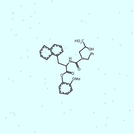 COc1ccccc1OC(=O)C(Cc1cccc2ccccc12)NC(=O)N(CC(C)C)CC(O)C(=O)O